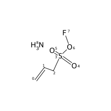 C=CCS(=O)(=O)OF.N